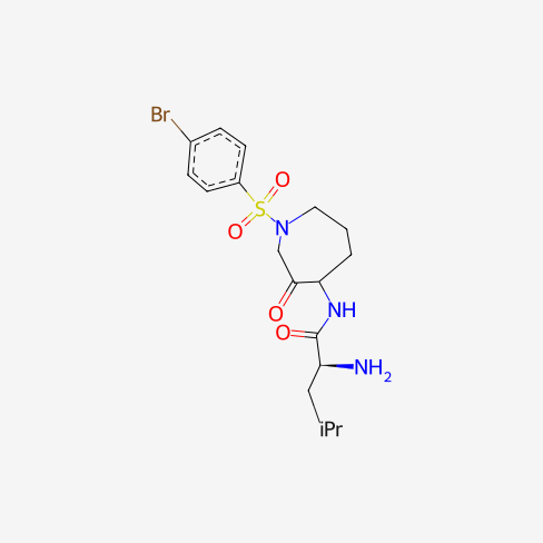 CC(C)C[C@H](N)C(=O)NC1CCCN(S(=O)(=O)c2ccc(Br)cc2)CC1=O